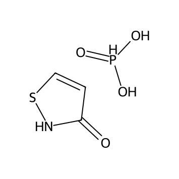 O=[PH](O)O.O=c1ccs[nH]1